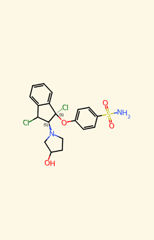 NS(=O)(=O)c1ccc(O[C@]2(Cl)c3ccccc3C(Cl)[C@@H]2N2CCC(O)C2)cc1